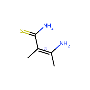 C/C(N)=C(\C)C(N)=S